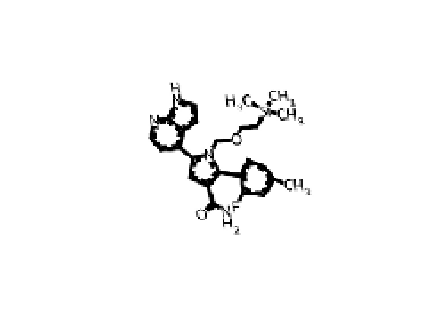 Cc1ccc(-c2c(C(N)=O)cc(-c3ccnc4[nH]ccc34)n2COCC[Si](C)(C)C)c(F)c1